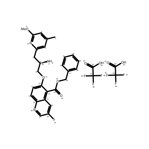 COc1cc(C)cc(C[C@@H](N)COc2ccc3ncc(F)cc3c2C(=O)OCc2ccccc2)n1.O=C(O)C(F)(F)F.O=C(O)C(F)(F)F